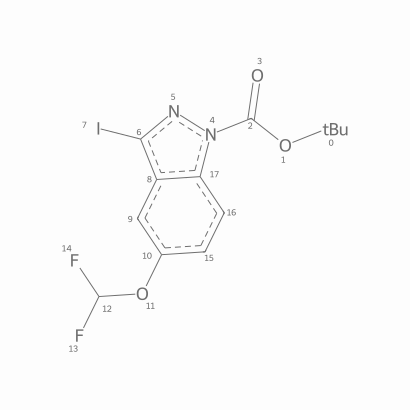 CC(C)(C)OC(=O)n1nc(I)c2cc(OC(F)F)ccc21